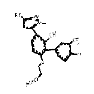 COCCOc1ccc(-c2cc(C(F)(F)F)nn2C)c(O)c1-c1ccc(Cl)c(C(F)(F)F)c1